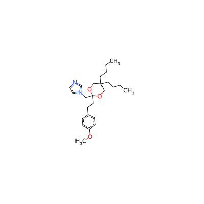 CCCCC1(CCCC)COC(CCc2ccc(OC)cc2)(Cn2ccnc2)OC1